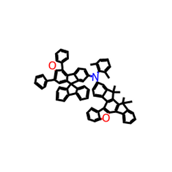 Cc1cccc(C)c1N(c1ccc2c(c1)C(C)(C)c1c3c(c4oc5ccccc5c4c1-2)-c1ccccc1C3(C)C)c1ccc2c(c1)C1(c3ccccc3-c3ccccc31)c1cc(-c3ccccc3)c3oc4ccccc4c3c1-2